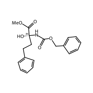 COC(=O)[C@](O)(CCc1ccccc1)NC(=O)OCc1ccccc1